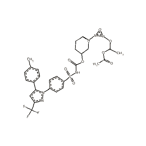 CC(=O)OC(C)On1on1N1CCCC(OC(=O)NS(=O)(=O)c2ccc(-n3nc(C(F)(F)F)cc3-c3ccc(C)cc3)cc2)C1